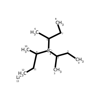 CCC(C)[B-](C(C)CC)C(C)CC.[Li+]